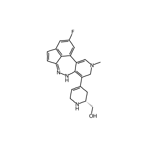 CN1C=C2C(=C(C3=CCN[C@@H](CO)C3)C1)NN=C1C=Cc3cc(F)cc2c31